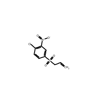 C=CCS(=O)(=O)c1ccc(Cl)c([N+](=O)[O-])c1